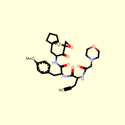 C#CCC(NC(=O)CN1CCOCC1)C(=O)NC(Cc1ccc(OC)cc1)C(=O)NC(CC1=CCCC1)C(=O)C1(C)CO1